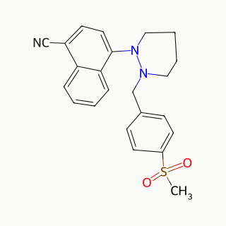 CS(=O)(=O)c1ccc(CN2CCCCN2c2ccc(C#N)c3ccccc23)cc1